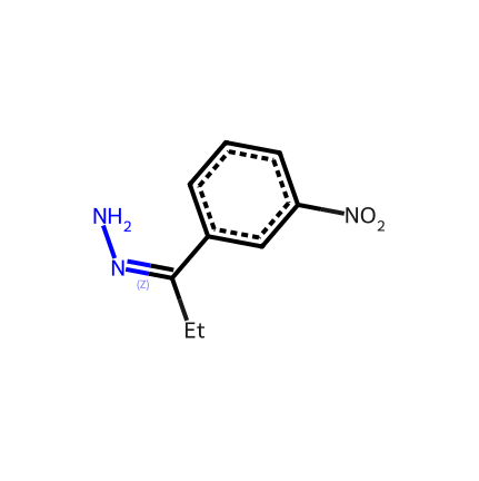 CC/C(=N/N)c1cccc([N+](=O)[O-])c1